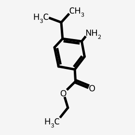 CCOC(=O)c1ccc(C(C)C)c(N)c1